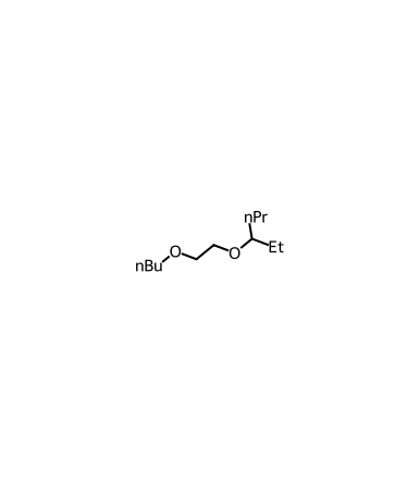 CCCCOCCOC(CC)CCC